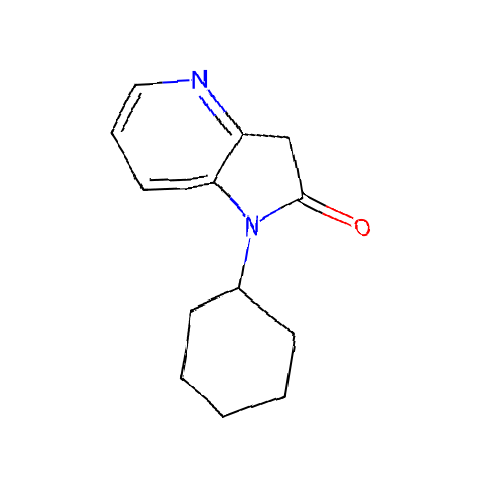 O=C1Cc2ncccc2N1C1CCCCC1